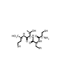 CC(C)C[C@H](NC(=O)[C@@H](N)CS)C(=O)N[C@H](C(=O)N[C@@H](CCS)C(=O)O)[C@@H](C)O